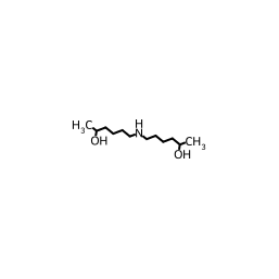 CC(O)CCCCNCCCCC(C)O